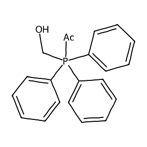 CC(=O)P(CO)(c1ccccc1)(c1ccccc1)c1ccccc1